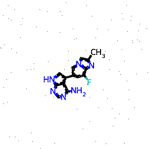 Cc1cn2cc(-c3c[nH]c4ncnc(N)c34)cc(F)c2n1